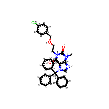 Cn1c(=O)n(CCOCc2ccc(Cl)cc2)c(=O)c2c1ncn2C(c1ccccc1)(c1ccccc1)c1ccccc1